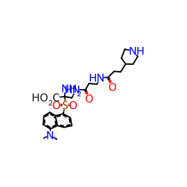 CN(C)c1cccc2c(S(=O)(=O)C(N)(CNC(=O)CCNC(=O)CCC3CCNCC3)C(=O)O)cccc12